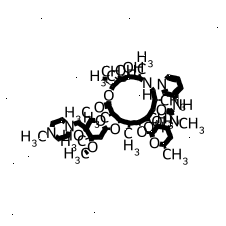 CC[C@H]1OC(=O)[C@H](C)[C@@H](O[C@H]2C[C@@](C)(OC)[C@](O)(CN3CCN(C)CC3)[C@H](C)O2)[C@H](C)[C@@H](O[C@@H]2O[C@H](C)C[C@H](N(C)C(=O)Nc3cccnc3)[C@H]2O)[C@](C)(O)C[C@@H](C)CN[C@H](C)[C@@H](O)[C@]1(C)O